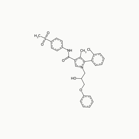 Cc1c(C(=O)Nc2ccc(S(C)(=O)=O)cc2)cn(CC(O)COc2ccccc2)c1-c1ccccc1Cl